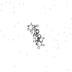 CC1(C)C2CCC1(C)C([O][Al][O]C1CC3CCC1(C)C3(C)C)C2